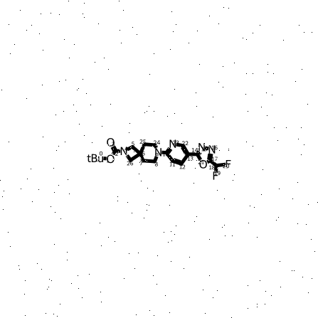 CC(C)(C)OC(=O)N1CC2(CCN(c3ccc(-c4nnc(C(F)F)o4)cn3)CC2)C1